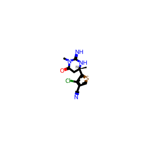 CN1C(=N)N[C@](C)(c2scc(C#N)c2Cl)CC1=O